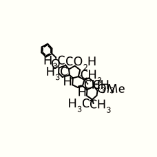 CO[C@@H]1CC(C)(C)C[C@@H]2C3=CC[C@@H]4[C@@]5(C)CC[C@H](OCc6ccccc6)C(C)(C(=O)O)C5CC[C@@]4(C)[C@]3(C)CC[C@]21C